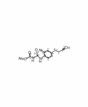 C#CCSc1ccc(NC(=S)NC(=O)OC)c([N+](=O)[O-])c1